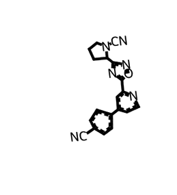 N#Cc1ccc(-c2ccnc(-c3nc(C4CCCN4C#N)no3)c2)cc1